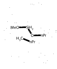 CCCC.CCCO[SiH2]OC